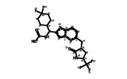 O=C(O)NC(c1cn2nc(C[C@H]3C[C@@H](C(F)(F)F)NC3=O)ccc2n1)C1CCC(F)(F)CC1